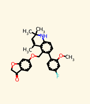 COc1cc(F)ccc1-c1ccc2c(c1COc1ccc3c(c1)OCC3=O)C(C)=CC(C)(C)N2